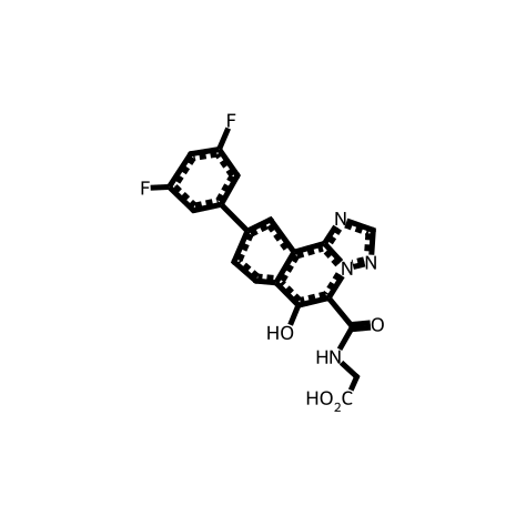 O=C(O)CNC(=O)c1c(O)c2ccc(-c3cc(F)cc(F)c3)cc2c2ncnn12